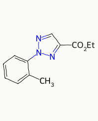 CCOC(=O)c1cnn(-c2ccccc2C)n1